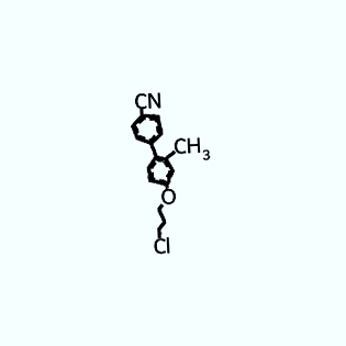 Cc1cc(OCCCCl)ccc1-c1ccc(C#N)cc1